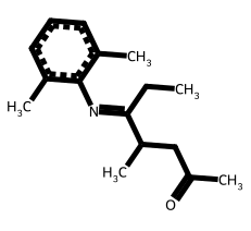 CCC(=Nc1c(C)cccc1C)C(C)CC(C)=O